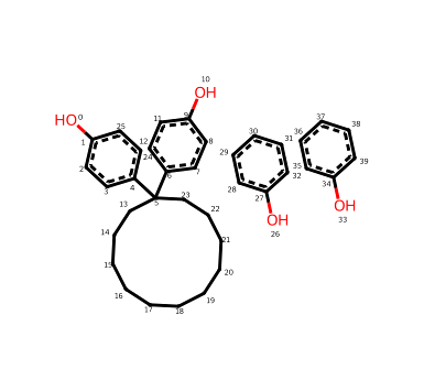 Oc1ccc(C2(c3ccc(O)cc3)CCCCCCCCCCC2)cc1.Oc1ccccc1.Oc1ccccc1